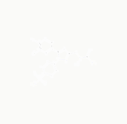 NC(=O)N(O)Cc1cc(-c2ccc(F)c(Cl)c2)n(-c2ccc(S(N)(=O)=O)cc2)n1